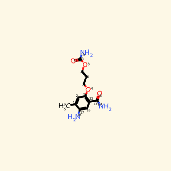 Cc1cc(OCCCOC(N)=O)c(C(N)=O)cc1N